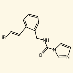 CC(C)C=Cc1ccccc1CNC(=O)n1ccnc1